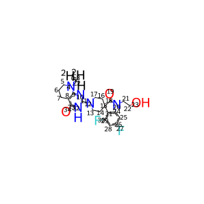 [2H]C([2H])([2H])N1CCCc2c1nc(N1CCC3(CC1)C(=O)N(CCO)c1cc(F)cc(F)c13)[nH]c2=O